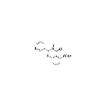 COc1cccc2nc(-c3cccnc3)[nH]c(=O)c12